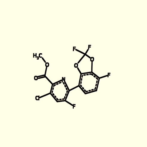 COC(=O)c1nc(-c2ccc(F)c3c2OC(F)(F)O3)c(F)cc1Cl